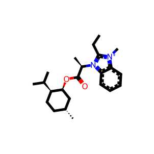 CCc1n([C@H](C)C(=O)O[C@H]2C[C@H](C)CC[C@H]2C(C)C)c2ccccc2[n+]1C